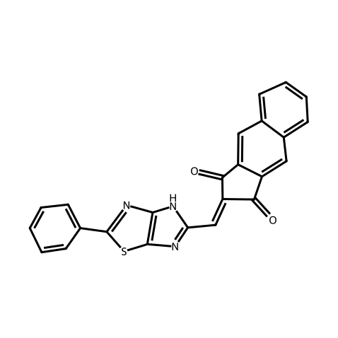 O=C1C(=Cc2nc3sc(-c4ccccc4)nc3[nH]2)C(=O)c2cc3ccccc3cc21